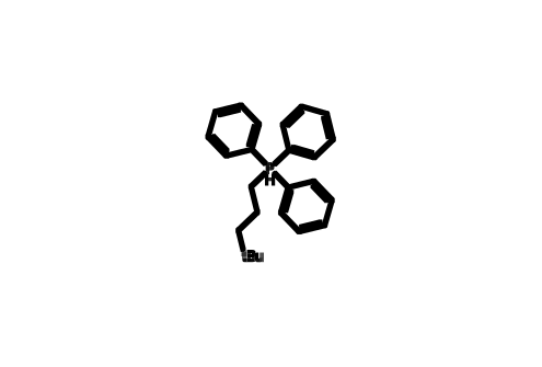 CC(C)(C)CCC[PH](c1ccccc1)(c1ccccc1)c1ccccc1